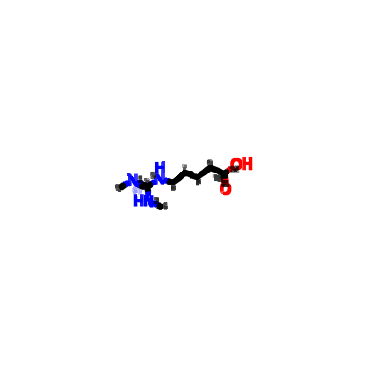 C/N=C(\NC)NCCCCC(=O)O